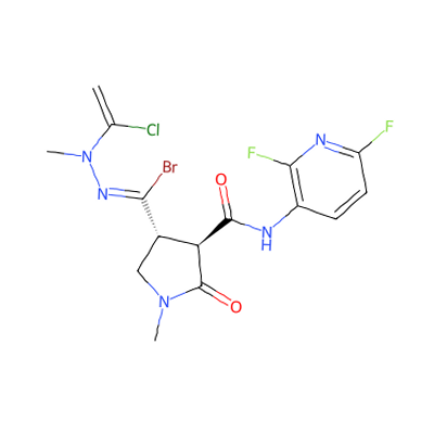 C=C(Cl)N(C)/N=C(\Br)[C@H]1CN(C)C(=O)[C@@H]1C(=O)Nc1ccc(F)nc1F